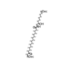 CCCCCCCCCCCCCCCC[C@@H](O)CNC(=O)CCCCCCCCCCCCCCC(=O)CCCCCCCCCCC